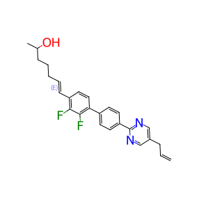 C=CCc1cnc(-c2ccc(-c3ccc(/C=C/CCCC(C)O)c(F)c3F)cc2)nc1